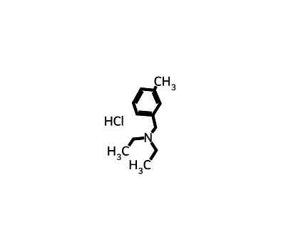 CCN(CC)Cc1cccc(C)c1.Cl